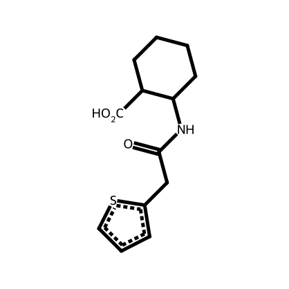 O=C(Cc1cccs1)NC1CCCCC1C(=O)O